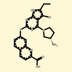 CCc1[nH]c2nc(Sc3ccc4ccc(C(=O)O)nc4c3)nc(N3CC[C@H](N)C3)c2c1Cl